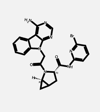 Nc1ncnc2c1c1ccccc1n2CC(=O)N1[C@@H]2CC2C[C@H]1C(=O)Nc1cccc(Br)n1